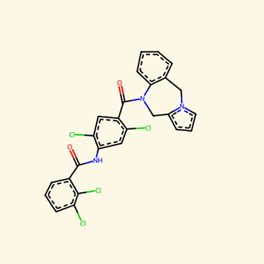 O=C(Nc1cc(Cl)c(C(=O)N2Cc3cccn3Cc3ccccc32)cc1Cl)c1cccc(Cl)c1Cl